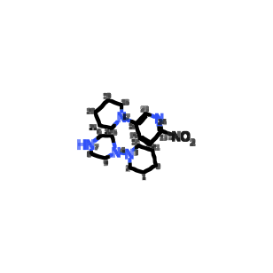 C1CCN(N2CCNCC2)CC1.O=[N+]([O-])c1ccc(N2CCCCC2)cn1